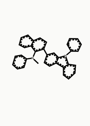 CN(c1ccccc1)c1c(-c2ccc3c4ccccc4n(-c4ccccc4)c3c2)ccc2ccccc12